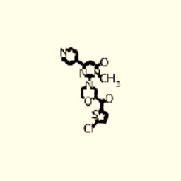 Cn1c(N2CCOC(C(=O)c3ccc(Cl)s3)C2)nc(-c2ccncc2)cc1=O